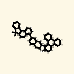 CC1(C)c2ccccc2-c2c1ccc1c(-c3ccc4cc5oc6ccc7c8ccccc8c8ccccc8c7c6c5cc4c3)cccc21